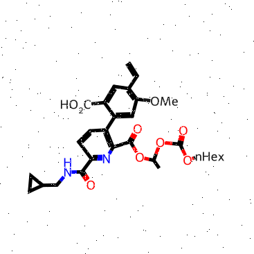 C=Cc1cc(C(=O)O)c(-c2ccc(C(=O)NCC3CC3)nc2C(=O)OC(C)OC(=O)OCCCCCC)cc1OC